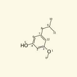 COc1cc(O)cc(CC(C)C)c1